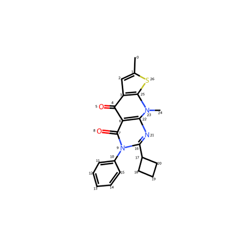 Cc1cc2c(=O)c3c(=O)n(-c4ccccc4)c(C4CCC4)nc3n(C)c2s1